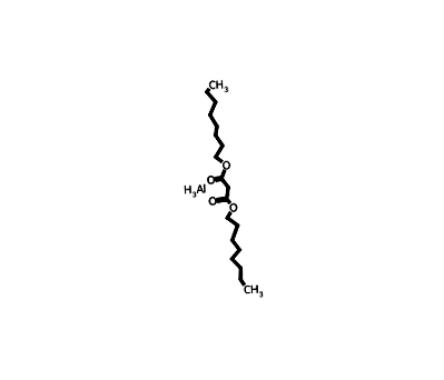 CCCCCCCCOC(=O)CC(=O)OCCCCCCCC.[AlH3]